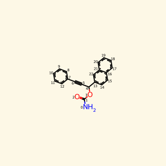 NC(=O)OC(C#Cc1ccccc1)c1ccc2ccccc2c1